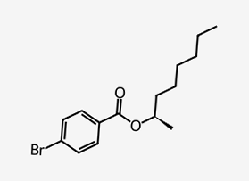 CCCCCC[C@@H](C)OC(=O)c1ccc(Br)cc1